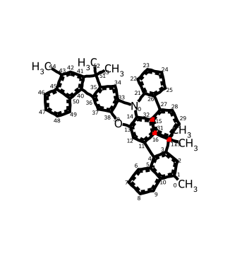 Cc1cc2c(c3ccccc13)-c1cc3c(cc1C2(C)C)N(c1ccccc1-c1ccccc1)c1cc2c(cc1O3)-c1c(cc(C)c3ccccc13)C2(C)C